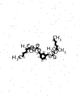 CCCCCC(C)(C)OOC(=O)OCc1cccc(COC(=O)OOC(C)(C)CCCCC)c1